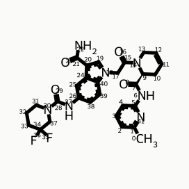 Cc1cccc(NC(=O)[C@@H]2CC=CCN2C(=O)Cn2cc(C(N)=O)c3cc(NC(=O)N4CCCC(F)(F)C4)ccc32)n1